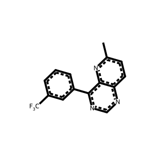 Cc1ccc2ncnc(-c3cccc(C(F)(F)F)c3)c2n1